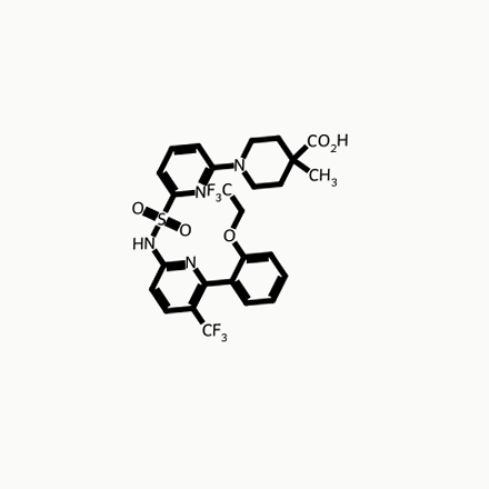 CC1(C(=O)O)CCN(c2cccc(S(=O)(=O)Nc3ccc(C(F)(F)F)c(-c4ccccc4OCC(F)(F)F)n3)n2)CC1